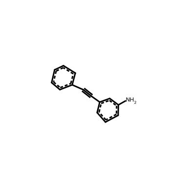 Nc1cccc(C#Cc2ccccc2)c1